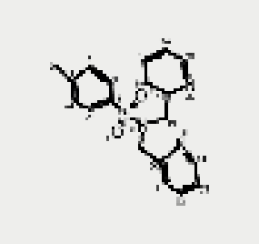 Cc1ccc(S(=O)(=O)N(Cc2ccccn2)CC2CC=CC=N2)cc1